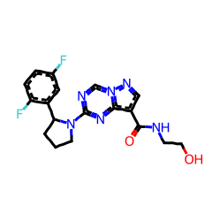 O=C(NCCO)c1cnn2cnc(N3CCCC3c3cc(F)ccc3F)nc12